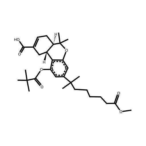 COC(=O)CCCCCC(C)(C)c1cc(OC(=O)C(C)(C)C)c2c(c1)OC(C)(C)[C@@H]1CC=C(C(=O)O)C[C@@H]21